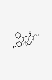 CC(c1ccc(F)cc1)C(CC(C(=O)NO)c1ncco1)c1ccccc1